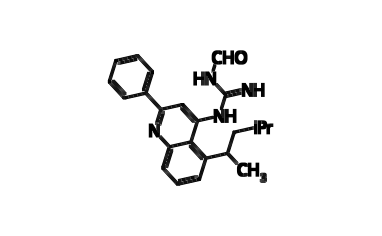 CC(C)CC(C)c1cccc2nc(-c3ccccc3)cc(NC(=N)NC=O)c12